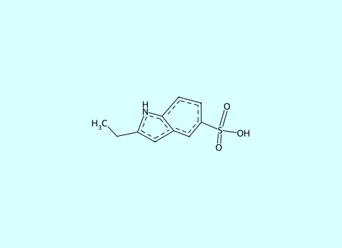 CCc1cc2cc(S(=O)(=O)O)ccc2[nH]1